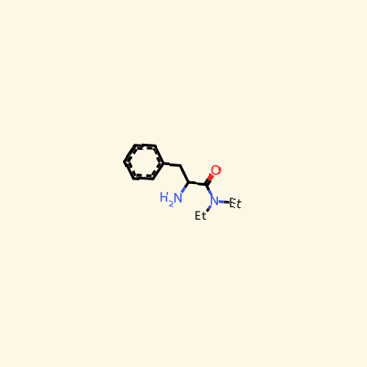 CCN(CC)C(=O)C(N)Cc1ccccc1